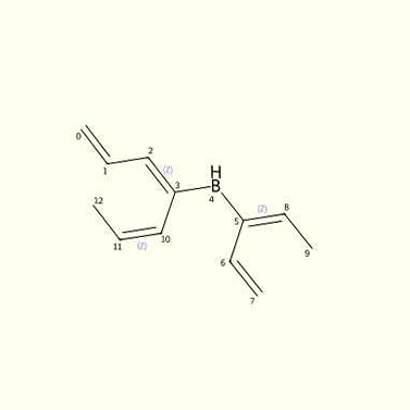 C=C/C=C(B/C(C=C)=C/C)\C=C/C